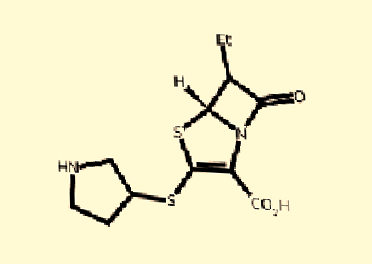 CCC1C(=O)N2C(C(=O)O)=C(SC3CCNC3)S[C@H]12